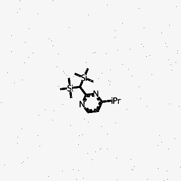 CC(C)c1ccnc(C([Si](C)(C)C)[Si](C)(C)C)n1